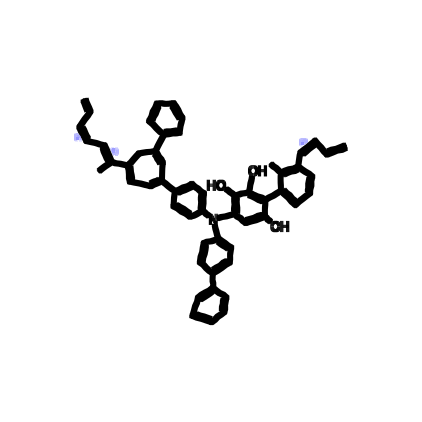 C=C/C=C\C=C(/C)C1=CC=C(c2ccc(N(c3ccc(-c4ccccc4)cc3)c3cc(O)c(-c4cccc(/C=C\C=C)c4C)c(O)c3O)cc2)C=C(c2ccccc2)C1